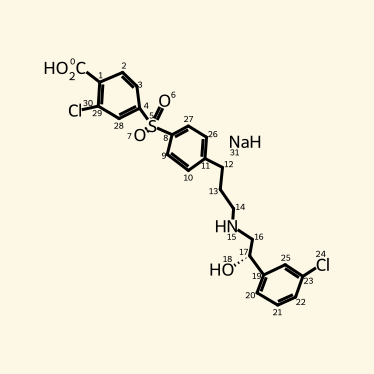 O=C(O)c1ccc(S(=O)(=O)c2ccc(CCCNC[C@@H](O)c3cccc(Cl)c3)cc2)cc1Cl.[NaH]